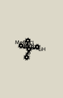 COc1cccc(Cl)c1C(=O)Pc1c(OCc2ccccc2)cc(OCc2ccccc2)cc1OCc1ccccc1.[LiH]